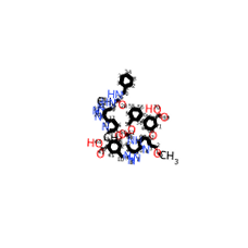 COCc1nc(-c2nnn(CC3C[C@H](Oc4ccc(-c5nnn(C)c5CNC(=O)NCc5ccccc5)nc4C)C[C@@H](C(=O)O)C3)c2CNC(=O)OCc2ccccc2)ccc1O[C@H]1CCC[C@H](C(=O)O)C1